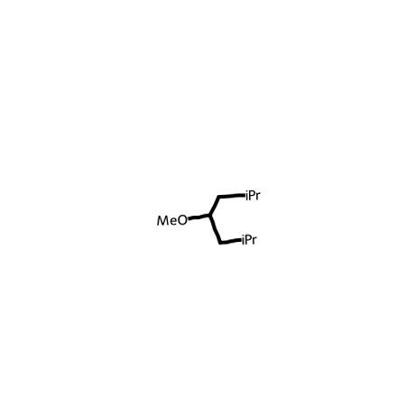 COC(CC(C)C)CC(C)C